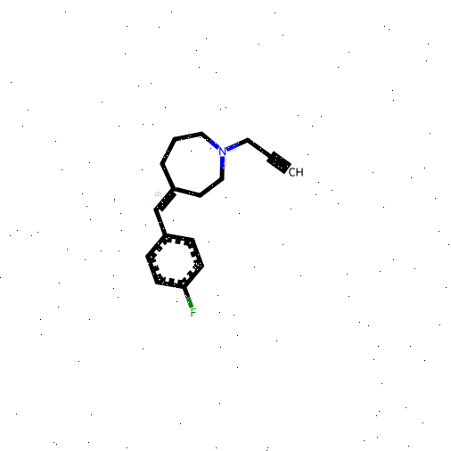 C#CCN1CCC/C(=C/c2ccc(F)cc2)CC1